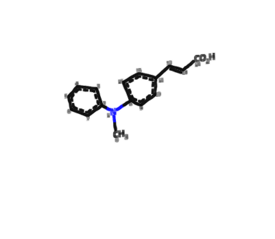 CN(c1ccccc1)c1ccc(/C=C/C(=O)O)cc1